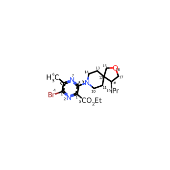 CCOC(=O)c1nc(Br)c(C)nc1N1CCC2(CC1)COCC2C(C)C